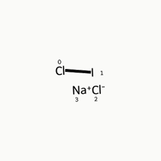 ClI.[Cl-].[Na+]